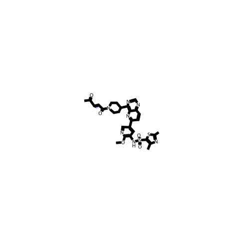 COc1ncc(-c2ccc3ncnc(C4CCN(C(=O)/C=C/C(C)=O)CC4)c3n2)cc1NS(=O)(=O)c1sc(C)nc1C